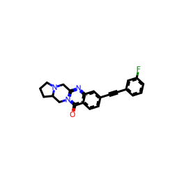 O=c1c2ccc(C#Cc3cccc(F)c3)cc2nc2n1CC1CCCN1C2